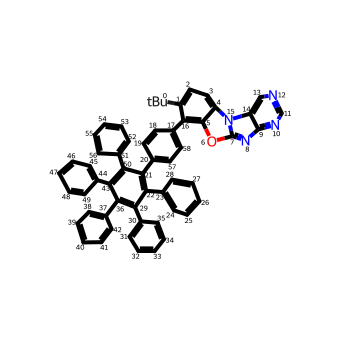 CC(C)(C)c1ccc2c(oc3nc4ncncc4n32)c1-c1ccc(-c2c(-c3ccccc3)c(-c3ccccc3)c(-c3ccccc3)c(-c3ccccc3)c2-c2ccccc2)cc1